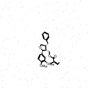 C/C=C(/C)C(=O)OC[C@H]1[C@@H](Cc2ccccc2)CO[C@@H]1c1ccc(OC)c(OC)c1